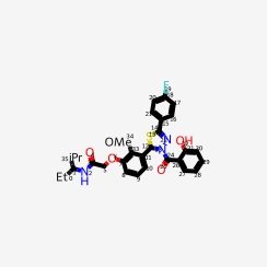 CCC(NC(=O)COc1cccc(C2SC(c3ccc(F)cc3)=NN2C(=O)c2ccccc2O)c1OC)C(C)C